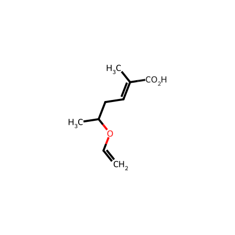 C=COC(C)CC=C(C)C(=O)O